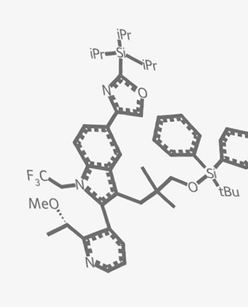 CO[C@@H](C)c1ncccc1-c1c(CC(C)(C)CO[Si](c2ccccc2)(c2ccccc2)C(C)(C)C)c2cc(-c3coc([Si](C(C)C)(C(C)C)C(C)C)n3)ccc2n1CC(F)(F)F